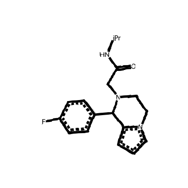 CC(C)NC(=O)CN1CCn2cccc2C1c1ccc(F)cc1